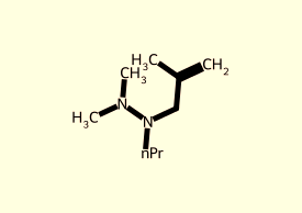 C=C(C)CN(CCC)N(C)C